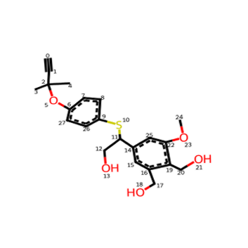 C#CC(C)(C)Oc1ccc(SC(CO)c2cc(CO)c(CO)c(OC)c2)cc1